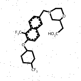 O=C(O)CC1CN(Cc2ccc3c(C(F)(F)F)c(OC4CCC(C(F)(F)F)CC4)ccc3c2)CCO1